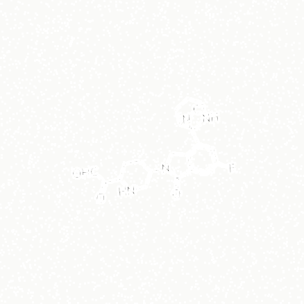 O=CC(=O)C1CCC(N2Cc3c(cc(F)cc3N3CC4CCC3CN4)C2=O)CN1